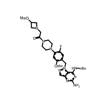 CCCCNc1nc(N)nc2cnn(Cc3cc(F)c(N4CCN(C(=O)CN5CC(OC)C5)CC4)cc3OC)c12